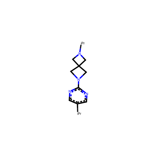 CC(C)c1cnc(N2CC3(C2)CN(C(C)C)C3)nc1